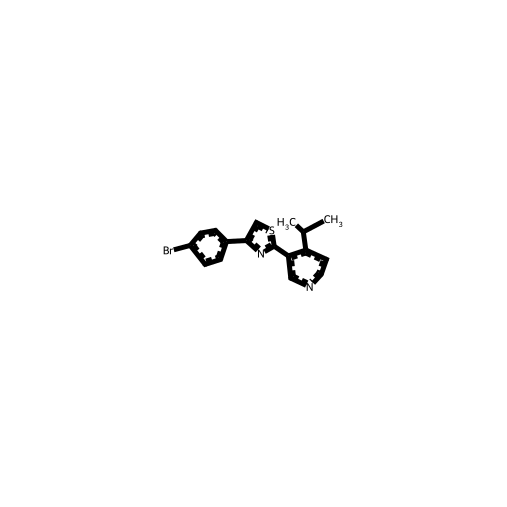 CC(C)c1ccncc1-c1nc(-c2ccc(Br)cc2)cs1